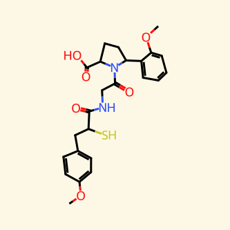 COc1ccc(CC(S)C(=O)NCC(=O)N2C(C(=O)O)CCC2c2ccccc2OC)cc1